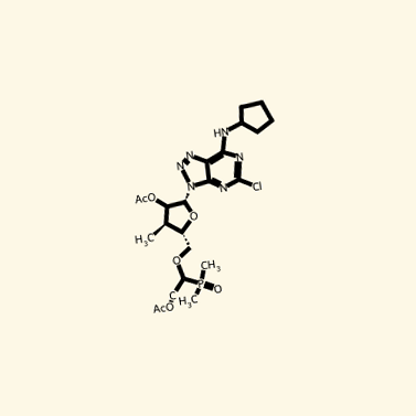 CC(=O)OCC(OC[C@H]1O[C@@H](n2nnc3c(NC4CCCC4)nc(Cl)nc32)C(OC(C)=O)[C@@H]1C)P(C)(C)=O